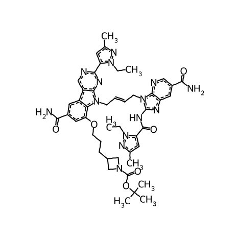 CCn1nc(C)cc1C(=O)Nc1nc2cc(C(N)=O)cnc2n1C/C=C/Cn1c2nc(-c3cc(C)nn3CC)ncc2c2cc(C(N)=O)cc(OCCCC3CN(C(=O)OC(C)(C)C)C3)c21